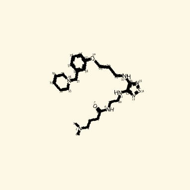 CN(C)CCCC(=O)NCCNc1nsnc1NCCCOc1cccc(CN2CCCCC2)c1